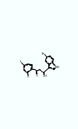 CC(=O)C(CC(=O)c1ccc(F)cc1F)c1c[nH]c2ccc(Br)cc12